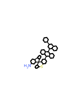 Nc1ccc2c(c1)C1(c3ccccc3Sc3ccc(-c4c5ccccc5c(-c5cc(-c6ccccc6)cc6ccccc56)c5ccccc45)cc31)c1ccccc1-2